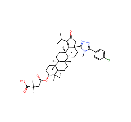 CC(C)C1=C2[C@H]3CC[C@@H]4[C@@]5(C)CC[C@H](OC(=O)CC(C)(C)C(=O)O)C(C)(C)[C@@H]5CC[C@@]4(C)[C@]3(C)CC[C@@]2(c2nnc(-c3ccc(Cl)cc3)n2C)CC1=O